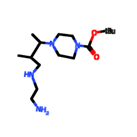 CC(CNCCN)C(C)N1CCN(C(=O)OC(C)(C)C)CC1